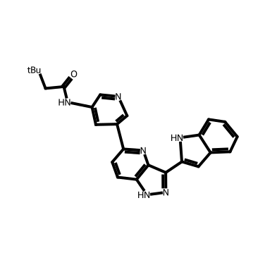 CC(C)(C)CC(=O)Nc1cncc(-c2ccc3[nH]nc(-c4cc5ccccc5[nH]4)c3n2)c1